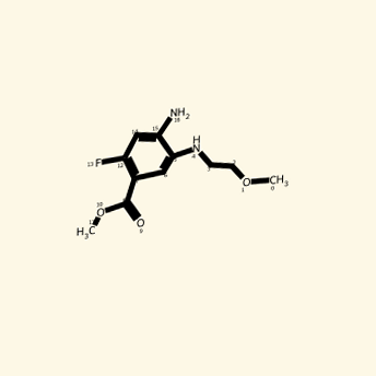 COCCNc1cc(C(=O)OC)c(F)cc1N